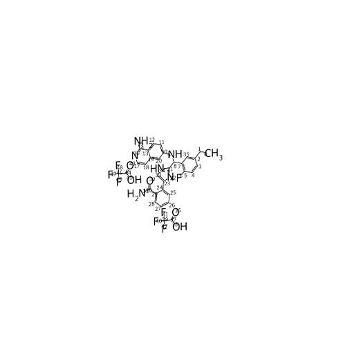 CCc1ccc(F)c(C(Nc2ccc3c(N)nccc3c2)c2nc(-c3ccccc3C(N)=O)c[nH]2)c1.O=C(O)C(F)(F)F.O=C(O)C(F)(F)F